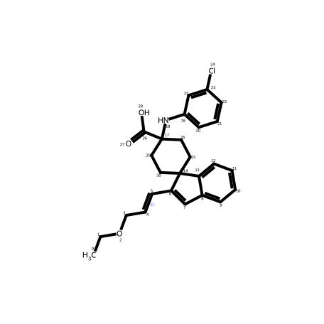 CCOC/C=C/C1=Cc2ccccc2C12CCC(Nc1cccc(Cl)c1)(C(=O)O)CC2